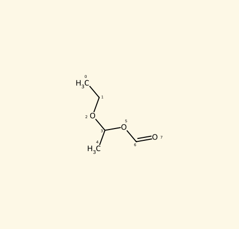 CCOC(C)OC=O